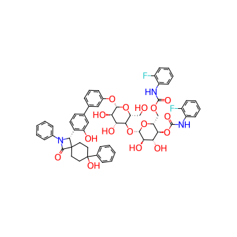 O=C(Nc1ccccc1F)OC[C@H]1O[C@@H](OC2[C@@H](CO)O[C@@H](Oc3cccc(-c4ccc([C@H]5N(c6ccccc6)C(=O)C56CCC(O)(c5ccccc5)CC6)c(O)c4)c3)[C@H](O)[C@H]2O)[C@H](O)[C@@H](O)[C@@H]1OC(=O)Nc1ccccc1F